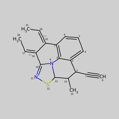 C#CC1c2cccc3c2N2C(=NSC2C1C)C(=C/C)/C3=C\C